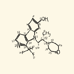 C[C@@H](Cn1c2cc(O)ccc2c2ccnc(C(F)(F)F)c21)N1CCOCC1